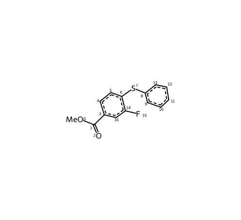 COC(=O)c1ccc(Sc2ccccc2)c(F)c1